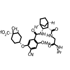 COc1cc(C#N)c(O[C@H]2CC[C@@](C)(C(=O)O)CC2)cc1C(=O)N[C@@H]1[C@H]2CC[C@H](C2)[C@@H]1C(=O)NCC(=O)NC(C)C